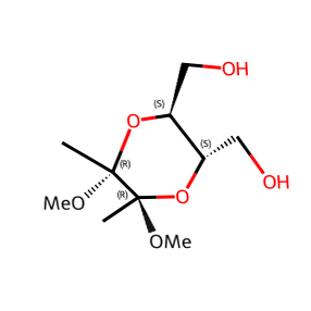 CO[C@]1(C)O[C@@H](CO)[C@H](CO)O[C@@]1(C)OC